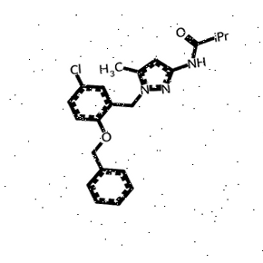 Cc1cc(NC(=O)C(C)C)nn1Cc1cc(Cl)ccc1OCc1ccccc1